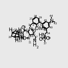 COc1c(CN2O[C@@H](CN)[C@H]([C@H](C)O)[C@H]2C(=O)N[C@H]2C[C@H]3C[C@@H]([C@@H]2C)C3(C)C)cccc1-c1cc(CNS(C)(=O)=O)cc(N(C)C)c1